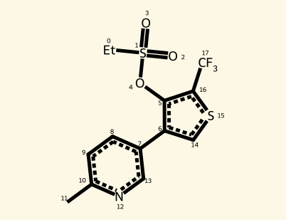 CCS(=O)(=O)Oc1c(-c2ccc(C)nc2)csc1C(F)(F)F